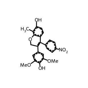 COc1cc(C2=C(c3ccc([N+](=O)[O-])cc3)c3ccc(O)c(C)c3OC2)cc(OC)c1O